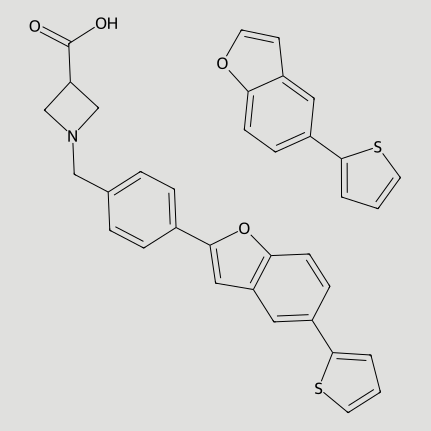 O=C(O)C1CN(Cc2ccc(-c3cc4cc(-c5cccs5)ccc4o3)cc2)C1.c1csc(-c2ccc3occc3c2)c1